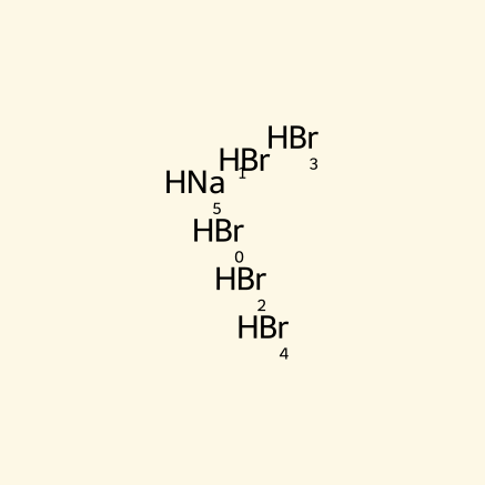 Br.Br.Br.Br.Br.[NaH]